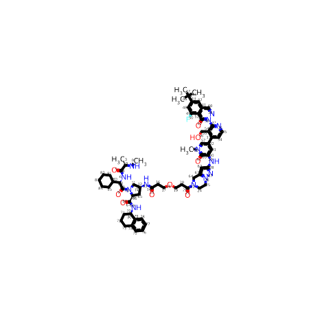 CN[C@@H](C)C(=O)N[C@H](C(=O)N1C[C@@H](NC(=O)CCOCCC(=O)N2CCn3nc(Nc4cc(-c5ccnc(-n6ncc7cc(C(C)(C)C)cc(F)c7c6=O)c5CO)cn(C)c4=O)cc3C2)C[C@H]1C(=O)N[C@@H]1CCCc2ccccc21)C1CCCCC1